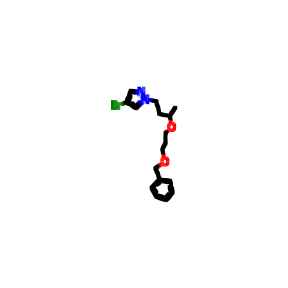 CC(CCn1cc(Br)cn1)OCCCOCc1ccccc1